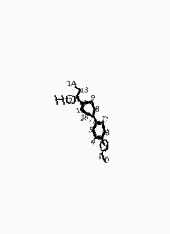 CCOc1ccc(-c2ccc(C(O)CC)cc2)cc1